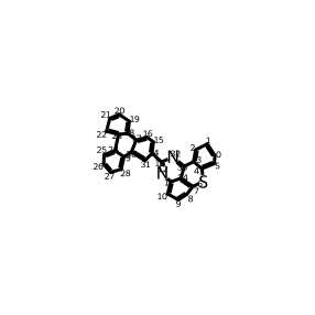 c1ccc2c(c1)Sc1cccc3nc(-c4ccc5c6ccccc6c6ccccc6c5c4)nc-2c13